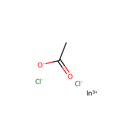 CC(=O)[O-].[Cl-].[Cl-].[In+3]